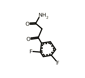 NC(=O)CC(=O)c1ccc(F)cc1F